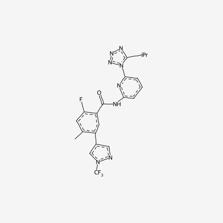 Cc1cc(F)c(C(=O)Nc2cccc(-n3nnnc3C(C)C)n2)cc1-c1cnn(C(F)(F)F)c1